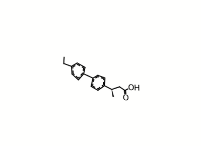 CCc1ccc(-c2ccc([C@H](C)CC(=O)O)cc2)cc1